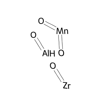 [O]=[AlH].[O]=[Mn]=[O].[O]=[Zr]